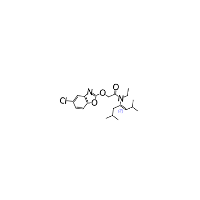 CCN(C(=O)COc1nc2cc(Cl)ccc2o1)/C(=C\C(C)C)CC(C)C